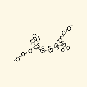 CCOCCOCCOCc1cc(-c2ccc(-c3ccc(-c4cc(COCCOCCOCC)c(-c5scc6c5OCCO6)s4)s3)s2)sc1-c1scc2c1OCCO2